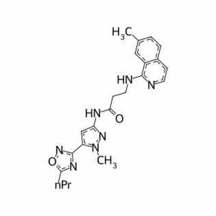 CCCc1nc(-c2cc(NC(=O)CCNc3nccc4ccc(C)cc34)nn2C)no1